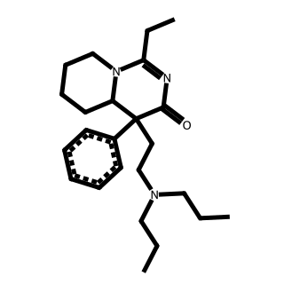 CCCN(CCC)CCC1(c2ccccc2)C(=O)N=C(CC)N2CCCCC21